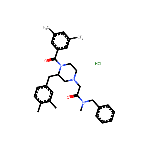 Cc1ccc(CC2CN(CC(=O)N(C)Cc3ccccc3)CCN2C(=O)c2cc(C(F)(F)F)cc(C(F)(F)F)c2)cc1C.Cl